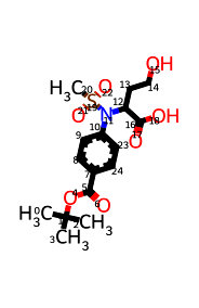 CC(C)(C)OC(=O)c1ccc(N(C(CCO)C(=O)O)S(C)(=O)=O)cc1